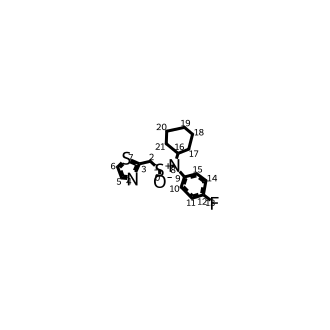 [O-][S+](Cc1nccs1)N(c1ccc(F)cc1)C1CCCCC1